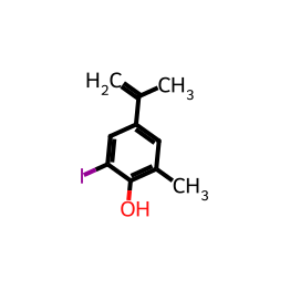 C=C(C)c1cc(C)c(O)c(I)c1